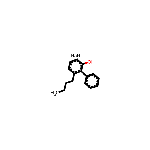 CCCCc1cccc(O)c1-c1ccccc1.[NaH]